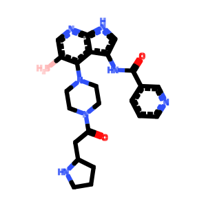 Bc1cnc2[nH]cc(NC(=O)c3cccnc3)c2c1N1CCN(C(=O)CC2CCCN2)CC1